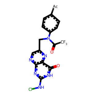 CC(=O)c1ccc(N(Cc2cnc3nc(NCl)[nH]c(=O)c3n2)C(=O)C(F)(F)F)cc1